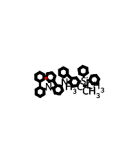 CC(C)(C)[Si](c1ccccc1)(c1ccccc1)c1ccc2c(c1)c1ccccc1n2-c1cccc2c1c1ccccc1n2-c1ccccc1-c1ccccc1